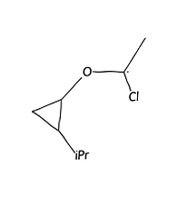 C[C](Cl)OC1CC1C(C)C